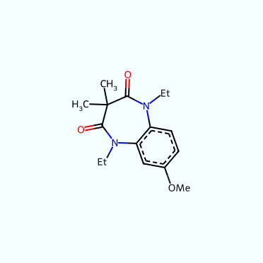 CCN1C(=O)C(C)(C)C(=O)N(CC)c2cc(OC)ccc21